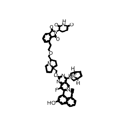 C#Cc1cccc2cc(O)cc(-c3ncc4c(N5C[C@H]6CC[C@@H](C5)N6)nc(OC[C@@]56CCCN5C(COCCc5cccc7c5C(=O)N(C5CCC(=O)NC5=O)C7=O)CC6)nc4c3F)c12